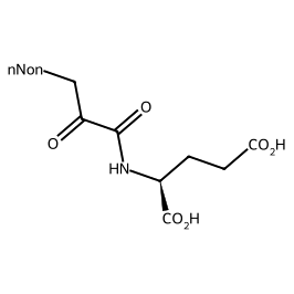 CCCCCCCCCCC(=O)C(=O)N[C@@H](CCC(=O)O)C(=O)O